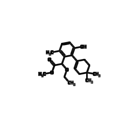 CCOC(C(=O)OC)c1c(C)ccc(O)c1C1=CCC(C)(C)CC1